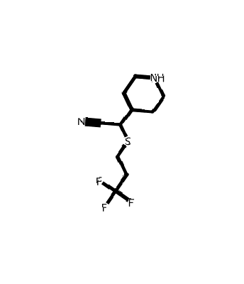 N#CC(SCCC(F)(F)F)C1CCNCC1